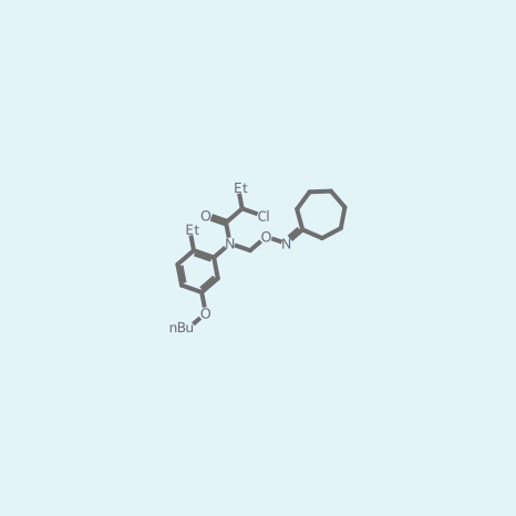 CCCCOc1ccc(CC)c(N(CON=C2CCCCCC2)C(=O)C(Cl)CC)c1